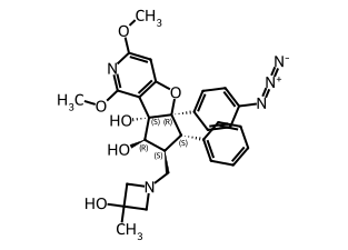 COc1cc2c(c(OC)n1)[C@]1(O)[C@H](O)[C@H](CN3CC(C)(O)C3)[C@@H](c3ccccc3)[C@]1(c1ccc(N=[N+]=[N-])cc1)O2